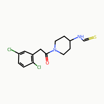 O=C(Cc1cc(Cl)ccc1Cl)N1CCC(NC=S)CC1